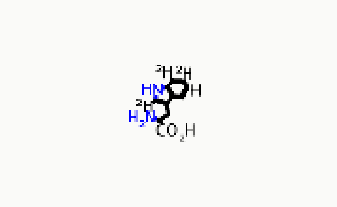 [2H]c1cc2c(CC(N)C(=O)O)c([2H])[nH]c2c([2H])c1[2H]